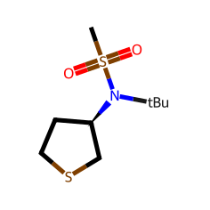 CC(C)(C)N([C@@H]1CCSC1)S(C)(=O)=O